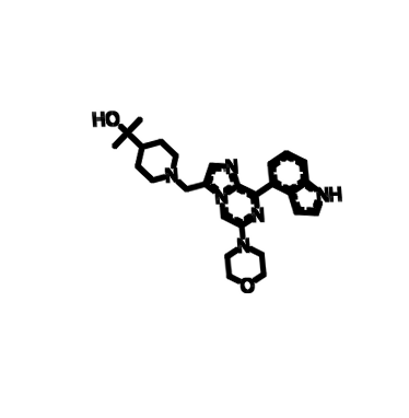 CC(C)(O)C1CCN(Cc2cnc3c(-c4cccc5[nH]ccc45)nc(N4CCOCC4)cn23)CC1